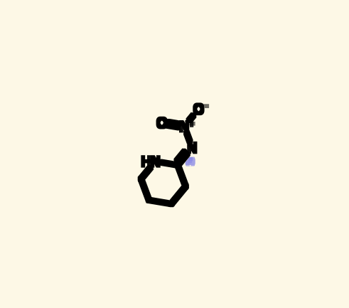 O=[N+]([O-])/N=C1/CCCCN1